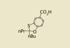 CCCCC1(CCC)Oc2ccc(C(=O)O)cc2S1